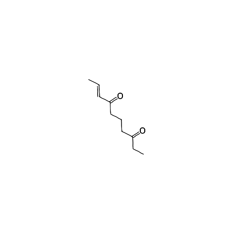 CC=CC(=O)CCCC(=O)CC